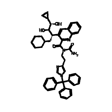 NC(=O)N(CCc1cn(C(c2ccccc2)(c2ccccc2)c2ccccc2)cn1)C(=O)c1nc2ccccc2cc1[C@H](CC1CCCCC1)[C@@H](O)[C@@H](O)C1CC1